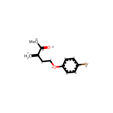 C=C(CCOc1ccc(Br)cc1)C(=O)OC